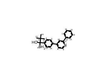 BC(O)(c1ccc(-c2ccnc(-c3ccccc3)c2)cc1)C(C)(C)C